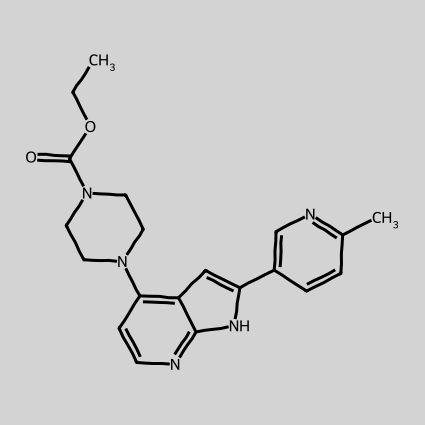 CCOC(=O)N1CCN(c2ccnc3[nH]c(-c4ccc(C)nc4)cc23)CC1